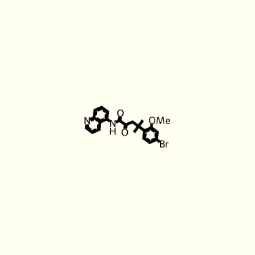 COc1cc(Br)ccc1C(C)(C)CC(=O)C(=O)Nc1cccc2ncccc12